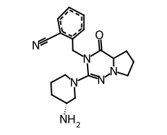 N#Cc1ccccc1CN1C(=O)C2CCCN2N=C1N1CCC[C@@H](N)C1